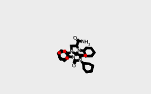 NC(=O)C1CN(C2CCCCC2)C2(C(=O)N(C3CCCCC3)C(=O)N2C2CCCCC2)N1C1CCCCC1